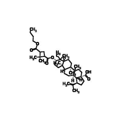 C=C(C)[C@@H]1CC[C@]2(C(=O)O)CC[C@]3(C)[C@H](CC[C@@H]4[C@@]5(C)CC[C@H](OC(=O)C6CC(C(=O)OCCCC)C6(C)C)C(C)(C)[C@@H]5CC[C@]43C)[C@@H]12